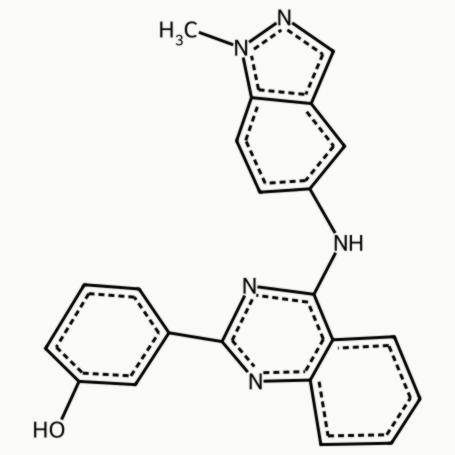 Cn1ncc2cc(Nc3nc(-c4cccc(O)c4)nc4ccccc34)ccc21